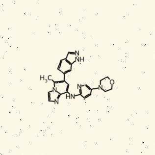 Cc1c(-c2ccc3cn[nH]c3c2)cc(Nc2ccc(N3CCOCC3)cn2)c2nccn12